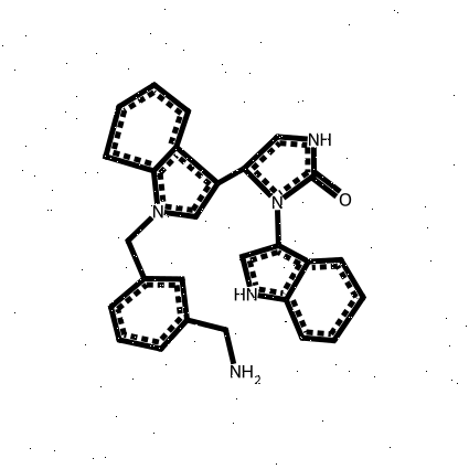 NCc1cccc(Cn2cc(-c3c[nH]c(=O)n3-c3c[nH]c4ccccc34)c3ccccc32)c1